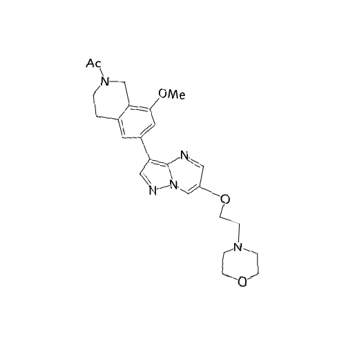 COc1cc(-c2cnn3cc(OCCN4CCOCC4)cnc23)cc2c1CN(C(C)=O)CC2